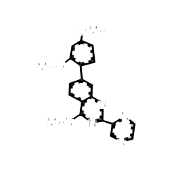 CNc1nc(-c2cnccn2)nc2cc(-c3ccc(OC)cc3OC)ccc12